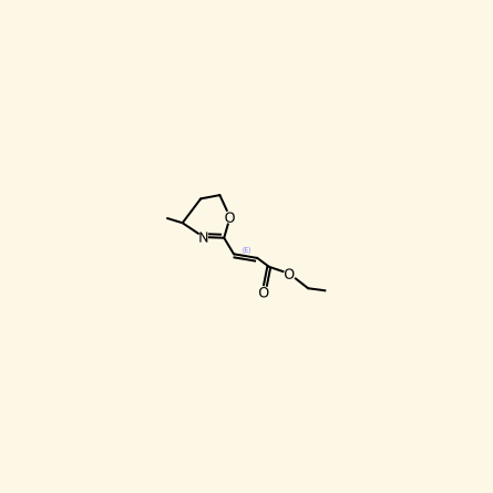 CCOC(=O)/C=C/C1=NC(C)CCO1